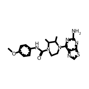 COc1ccc(NC(=O)N2CCN(c3nc(N)nc4scnc34)C(C)C2C)cc1